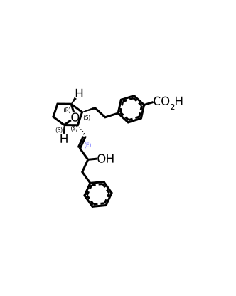 O=C(O)c1ccc(CC[C@H]2[C@H](/C=C/C(O)Cc3ccccc3)[C@@H]3CC[C@H]2O3)cc1